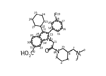 CN(C)CC1CCCN(C(=O)Cn2c(-c3cccc(F)c3)c(C3CCCCC3)c3ccc(C(=O)O)cc32)C1